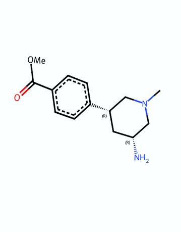 COC(=O)c1ccc([C@H]2C[C@@H](N)CN(C)C2)cc1